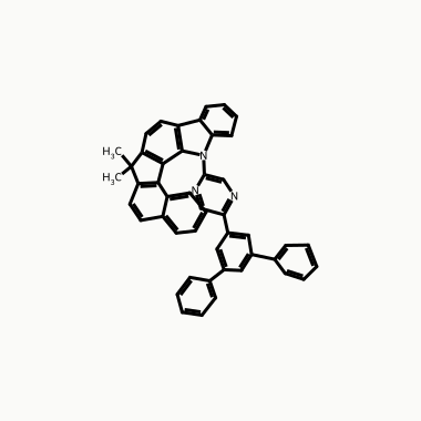 CC1(C)c2ccc3ccccc3c2-c2c1ccc1c3ccccc3n(-c3cnc(-c4cc(-c5ccccc5)cc(-c5ccccc5)c4)cn3)c21